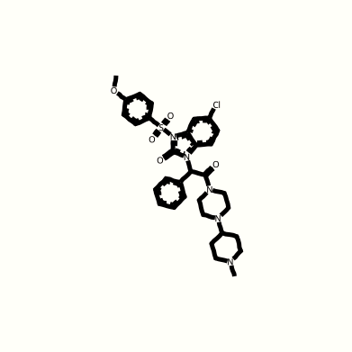 COc1ccc(S(=O)(=O)n2c(=O)n(C(C(=O)N3CCN(C4CCN(C)CC4)CC3)c3ccccc3)c3ccc(Cl)cc32)cc1